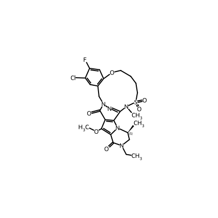 CCN1C[C@H](C)n2c(c(OC)c3c(=O)n4nc(c32)N(C)S(=O)(=O)CCCCOc2cc(F)c(Cl)cc2C4)C1=O